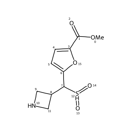 COC(=O)c1ccc(C(C2CNC2)[SH](=O)=O)o1